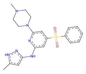 Cc1cc(Nc2cc(S(=O)(=O)c3ccccc3)cc(N3CCN(C)CC3)n2)n[nH]1